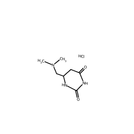 CN(C)CC1CC(=O)NC(=O)N1.Cl